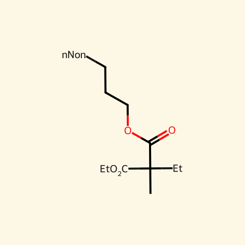 CCCCCCCCCCCCOC(=O)C(C)(CC)C(=O)OCC